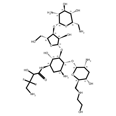 NC[C@@H]1O[C@H](O[C@H]2[C@@H](O)[C@H](O[C@@H]3[C@@H](O)[C@H](NC(=O)C(O)C(F)(F)CN)C[C@H](N)[C@H]3O[C@H]3O[C@H](CNCCO)[C@@H](O)C[C@H]3N)O[C@@H]2CO)[C@H](N)[C@@H](O)[C@@H]1O